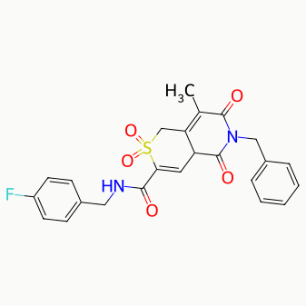 CC1=C2CS(=O)(=O)C(C(=O)NCc3ccc(F)cc3)=CC2C(=O)N(Cc2ccccc2)C1=O